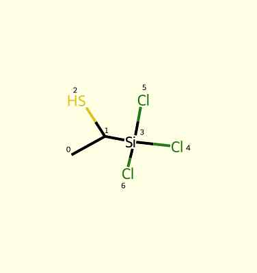 CC(S)[Si](Cl)(Cl)Cl